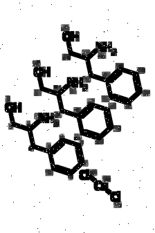 NC(CO)Cc1ccccc1.NC(CO)Cc1ccccc1.NC(CO)Cc1ccccc1.[Cl][Cu][Cl]